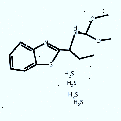 CCC([SiH2]C(OC)OC)c1nc2ccccc2s1.S.S.S.S